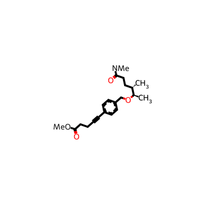 CNC(=O)CC[C@H](C)[C@@H](C)OCc1ccc(C#CCCC(=O)OC)cc1